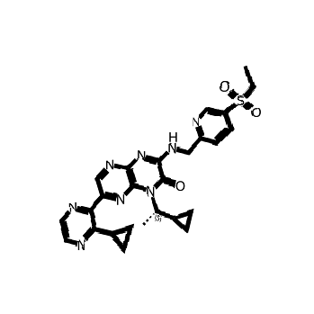 CCS(=O)(=O)c1ccc(CNc2nc3ncc(-c4nccnc4C4CC4)nc3n([C@@H](C)C3CC3)c2=O)nc1